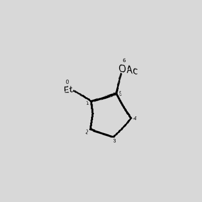 CCC1CCCC1OC(C)=O